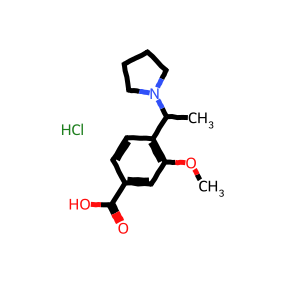 COc1cc(C(=O)O)ccc1C(C)N1CCCC1.Cl